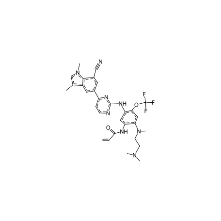 C=CC(=O)Nc1cc(Nc2nccc(-c3cc(C#N)c4c(c3)c(C)cn4C)n2)c(OC(F)(F)F)cc1N(C)CCN(C)C